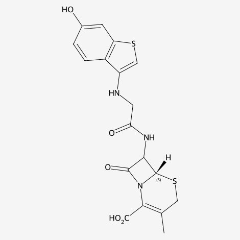 CC1=C(C(=O)O)N2C(=O)C(NC(=O)CNc3csc4cc(O)ccc34)[C@@H]2SC1